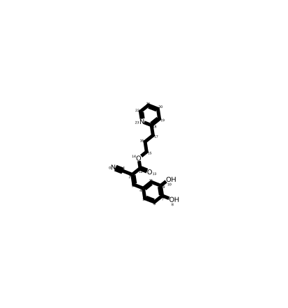 N#CC(=Cc1ccc(O)c(O)c1)C(=O)OCCCc1ccccn1